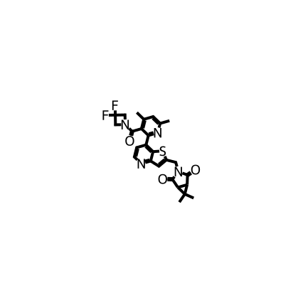 Cc1cc(C)c(C(=O)N2CC(F)(F)C2)c(-c2ccnc3cc(CN4C(=O)C5C(C4=O)C5(C)C)sc23)n1